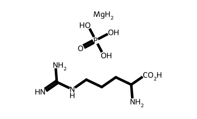 N=C(N)NCCCC(N)C(=O)O.O=P(O)(O)O.[MgH2]